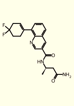 C[C@H](CC(N)=O)NC(=O)c1cnc2c(C3=CCC(F)(F)CC3)cccc2c1